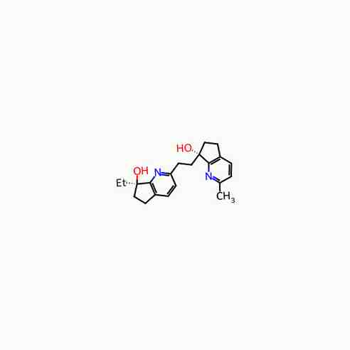 CC[C@@]1(O)CCc2ccc(CC[C@@]3(O)CCc4ccc(C)nc43)nc21